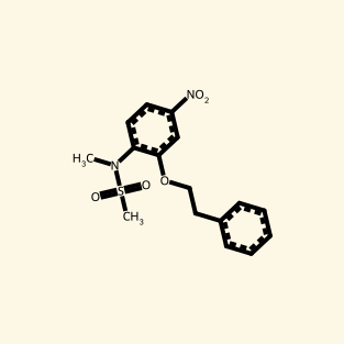 CN(c1ccc([N+](=O)[O-])cc1OCCc1ccccc1)S(C)(=O)=O